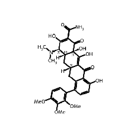 COc1ccc(-c2ccc(O)c3c2C[C@@H]2C[C@@H]4[C@@H](N(C)C)C(O)=C(C(N)=O)C(=O)[C@]4(O)C(O)=C2C3=O)c(OC)c1OC